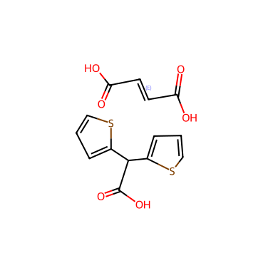 O=C(O)/C=C/C(=O)O.O=C(O)C(c1cccs1)c1cccs1